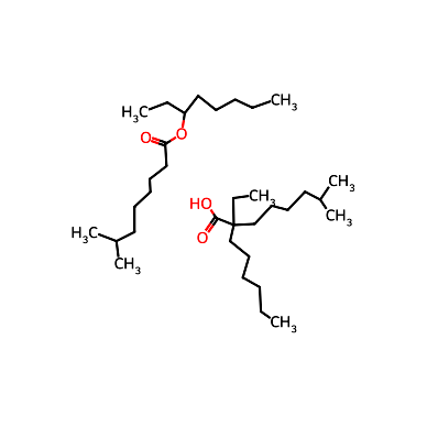 CCCCCC(CC)OC(=O)CCCCCC(C)C.CCCCCCC(CC)(CCCCC(C)C)C(=O)O